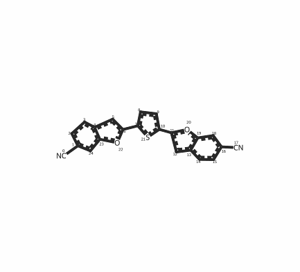 N#Cc1ccc2cc(-c3ccc(-c4cc5ccc(C#N)cc5o4)s3)oc2c1